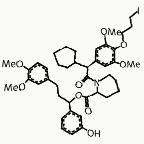 COc1ccc(CCC(OC(=O)C2CCCCN2C(=O)[C@H](c2cc(OC)c(OCCCI)c(OC)c2)C2CCCCC2)c2cccc(O)c2)cc1OC